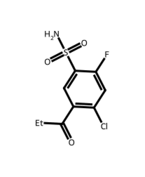 CCC(=O)c1cc(S(N)(=O)=O)c(F)cc1Cl